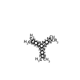 Cc1nc2c(nc1C)CC1=NC3c4nc5c(nc4-c4nc6c(nc4C3N=C1C2)Cc1nc(C)c(C)nc1C6)Cc1nc(C)c(C)nc1C5